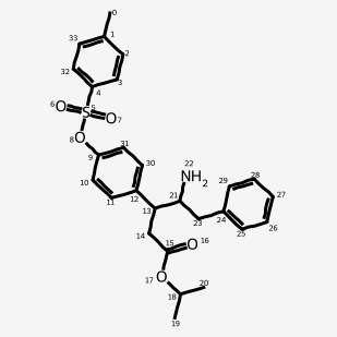 Cc1ccc(S(=O)(=O)Oc2ccc(C(CC(=O)OC(C)C)C(N)Cc3ccccc3)cc2)cc1